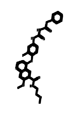 COCCNC(=O)c1cc2c(Oc3ccc(NC(=S)NC(=O)Cc4ccccc4)cc3F)ccnc2cc1OC